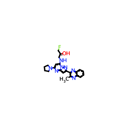 Cc1nc2ccccc2nc1-c1cc2nc(N3CCCC3)cc(NC[C@H](O)CF)n2n1